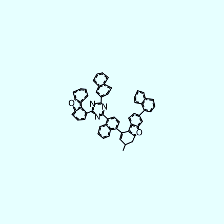 CC1C=C(c2ccc(-c3nc(-c4ccc5ccccc5c4)nc(-c4cccc5oc6ccccc6c45)n3)c3ccccc23)c2c(oc3cc(-c4cccc5ccccc45)ccc23)C1